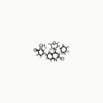 Cn1cc(-c2ccc3nc(Cl)nc(N4CCOC[C@@H]4c4ccccc4)c3c2)ccc1=O